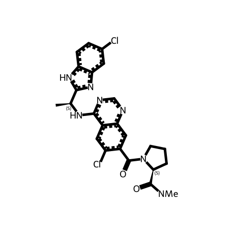 CNC(=O)[C@@H]1CCCN1C(=O)c1cc2ncnc(N[C@@H](C)c3nc4cc(Cl)ccc4[nH]3)c2cc1Cl